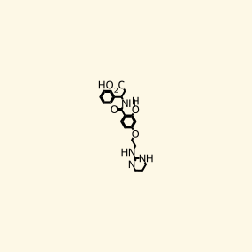 O=C(O)CC(NC(=O)c1ccc(OCCNC2=NCCCN2)cc1O)c1ccccc1